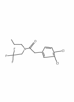 CCCN(CC(F)(F)F)C(=O)Cc1ccc(Cl)c(Cl)c1